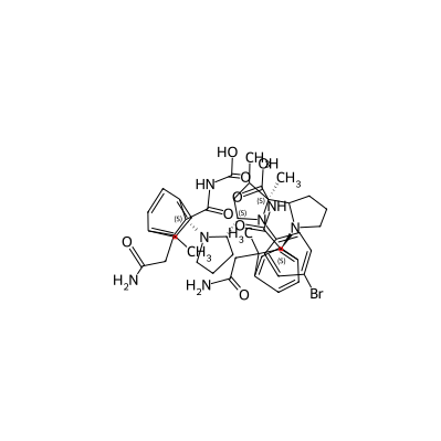 CC1C[C@@H](C2CCCN2[C@@]2(C(=O)NC(=O)O)c3ccc(cc3)C2(C)CC(N)=O)N(c2ccc(Br)cc2)[C@]1(C)C1CCCN1[C@@]1(C(=O)NC(=O)O)c2ccc(cc2)C1(C)CC(N)=O